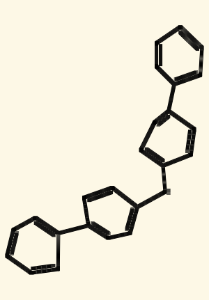 [C](c1ccc(-c2ccccc2)cc1)c1ccc(-c2ccccc2)cc1